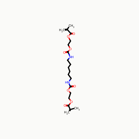 C=C(C)C(=O)OCCOC(=O)NCCCCCCNC(=O)OCCOC(=O)C(=C)C